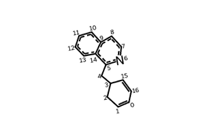 C1=CCC(Cc2nccc3ccccc23)C=C1